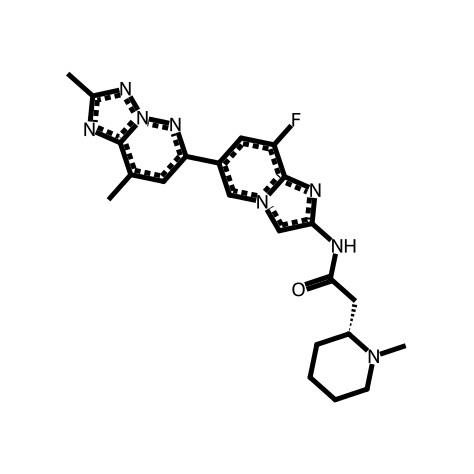 Cc1nc2c(C)cc(-c3cc(F)c4nc(NC(=O)C[C@H]5CCCCN5C)cn4c3)nn2n1